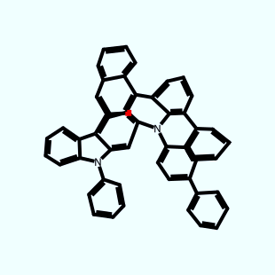 c1ccc(-c2ccc(N(c3ccc4c5ccccc5n(-c5ccccc5)c4c3)c3c(-c4ccccc4)cccc3-c3cccc4ccccc34)cc2)cc1